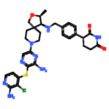 C[C@@H]1OCC2(CCN(c3cnc(Sc4ccnc(N)c4Cl)c(N)n3)CC2)[C@@H]1NCc1ccc(C2CCC(=O)NC2=O)cc1